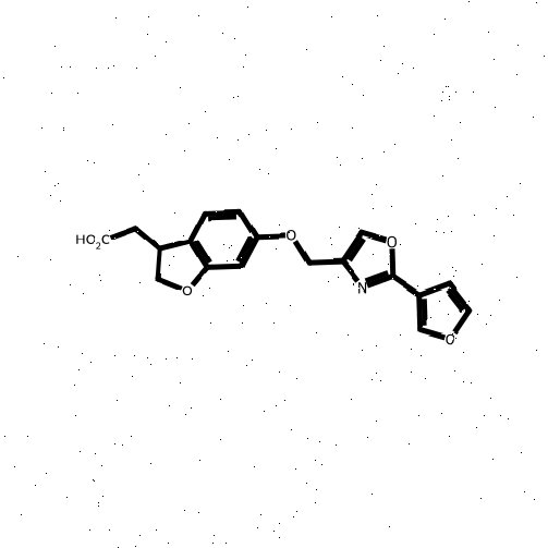 O=C(O)CC1COc2cc(OCc3coc(-c4ccoc4)n3)ccc21